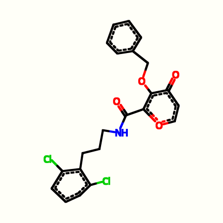 O=C(NCCCc1c(Cl)cccc1Cl)c1occc(=O)c1OCc1ccccc1